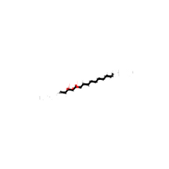 CCCCCCCCCCCCC(O)CCCCCCCCCCCC=O